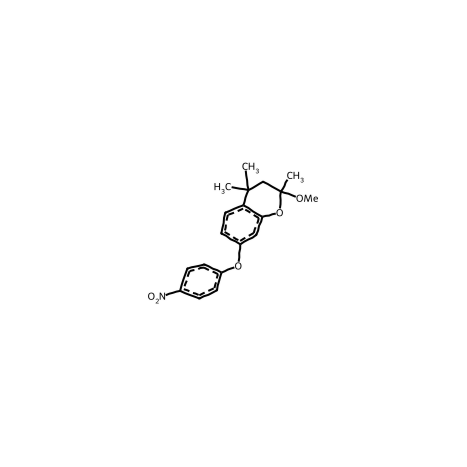 COC1(C)CC(C)(C)c2ccc(Oc3ccc([N+](=O)[O-])cc3)cc2O1